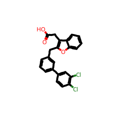 O=C(O)Cc1c(Cc2cccc(-c3ccc(Cl)c(Cl)c3)c2)oc2ccccc12